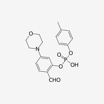 Cc1ccc(OP(=O)(O)Oc2cc(N3CCOCC3)ccc2C=O)cc1